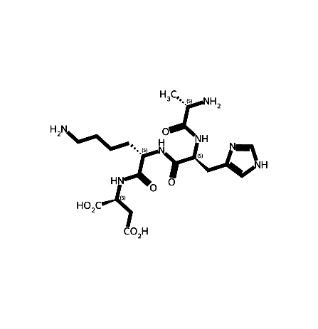 C[C@H](N)C(=O)N[C@@H](Cc1c[nH]cn1)C(=O)N[C@@H](CCCCN)C(=O)N[C@@H](CC(=O)O)C(=O)O